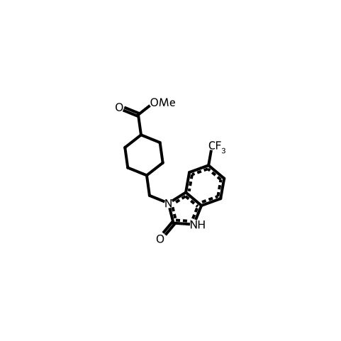 COC(=O)C1CCC(Cn2c(=O)[nH]c3ccc(C(F)(F)F)cc32)CC1